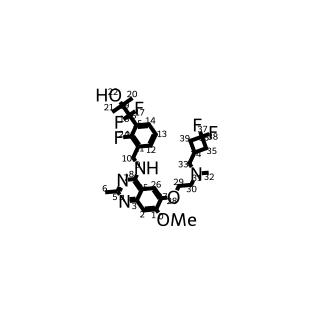 COc1cc2nc(C)nc(NCc3cccc(C(F)(F)C(C)(C)O)c3F)c2cc1OCCN(C)CC1CC(F)(F)C1